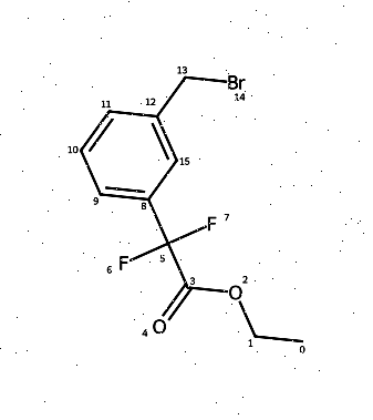 CCOC(=O)C(F)(F)c1cccc(CBr)c1